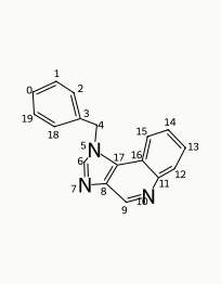 c1ccc(Cn2cnc3cnc4ccccc4c32)cc1